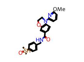 COc1cccc(N2CCOc3cc(C(=O)NCc4ccc([SH](C)(C)=O)cc4)ccc32)n1